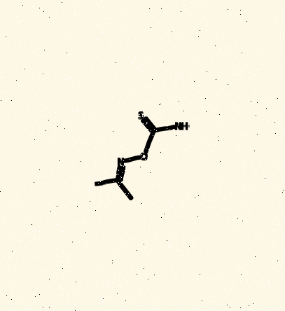 CC(C)=NOC([NH])=S